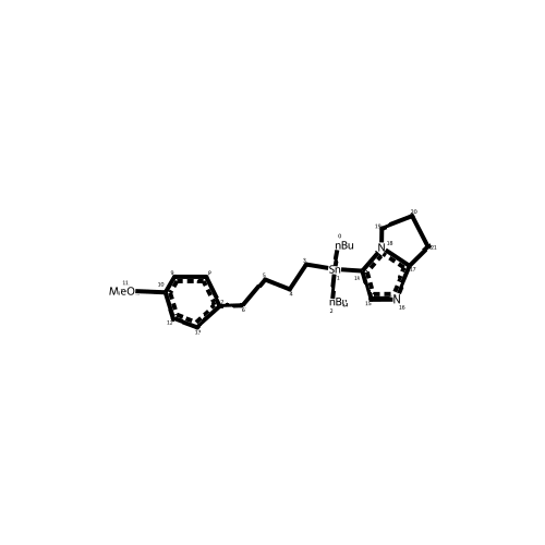 CCC[CH2][Sn]([CH2]CCC)([CH2]CCCc1ccc(OC)cc1)[c]1cnc2n1CCC2